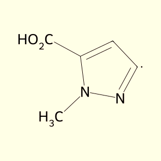 Cn1n[c]cc1C(=O)O